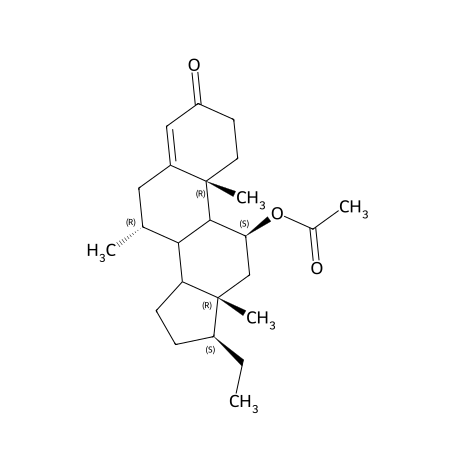 CC[C@H]1CCC2C3C([C@@H](OC(C)=O)C[C@@]21C)[C@@]1(C)CCC(=O)C=C1C[C@H]3C